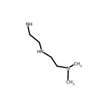 CN(C)CCNCC[NH]